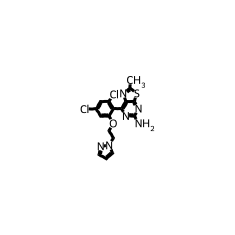 Cc1nc2c(-c3c(Cl)cc(Cl)cc3OCCn3cccn3)nc(N)nc2s1